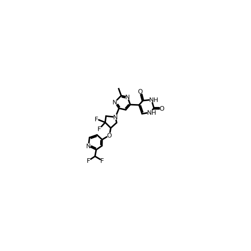 Cc1nc(-c2c[nH]c(=O)[nH]c2=O)cc(N2CC(Oc3ccnc(C(F)F)c3)C(F)(F)C2)n1